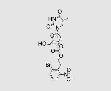 Cc1cn([C@H]2C[C@H](OC(=O)OCCc3c(Br)cccc3[N+](=O)[O-])[C@@H](CO)O2)c(=O)[nH]c1=O